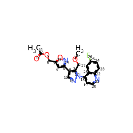 COCc1c(-c2cc(COC(C)=O)on2)cnn1-c1ccnc2ccc(F)cc12